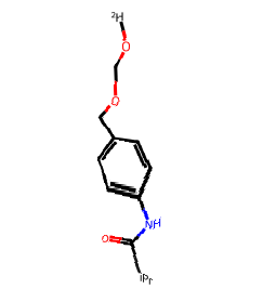 [2H]OCOCc1ccc(NC(=O)C(C)C)cc1